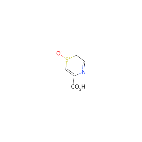 O=C(O)C1=C[S+]([O-])CC=N1